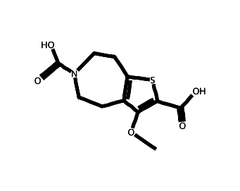 COc1c(C(=O)O)sc2c1CCN(C(=O)O)CC2